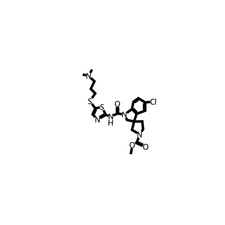 COC(=O)N1CCC2(C1)CN(C(=O)Nc1ncc(SCCCN(C)C)s1)c1ccc(Cl)cc12